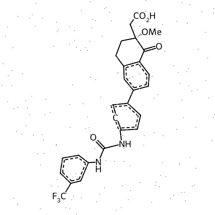 CO[C@@]1(CC(=O)O)CCc2cc(-c3ccc(NC(=O)Nc4cccc(C(F)(F)F)c4)cc3)ccc2C1=O